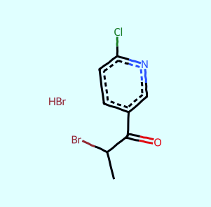 Br.CC(Br)C(=O)c1ccc(Cl)nc1